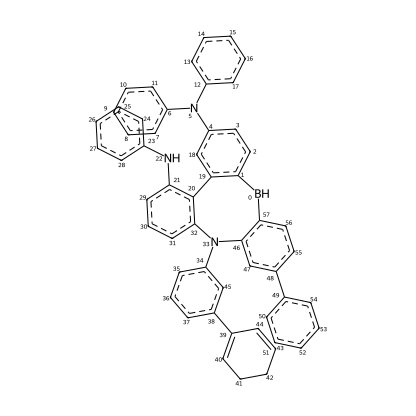 B1c2ccc(N(c3ccccc3)c3ccccc3)cc2-c2c(Nc3ccccc3)cccc2N(c2cccc(C3=CCCC=C3)c2)c2cc(-c3ccccc3)ccc21